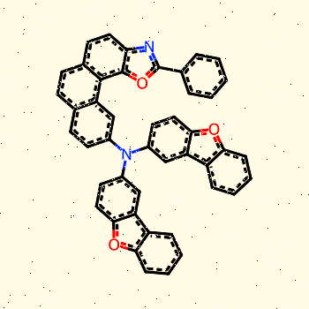 c1ccc(-c2nc3ccc4ccc5ccc(N(c6ccc7oc8ccccc8c7c6)c6ccc7oc8ccccc8c7c6)cc5c4c3o2)cc1